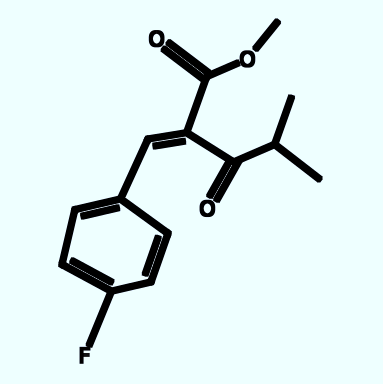 COC(=O)/C(=C/c1ccc(F)cc1)C(=O)C(C)C